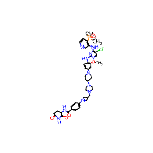 COc1cc(N2CCC(N3CCN(CC4CN(c5ccc(C(=O)NC6CCC(=O)NC6=O)cc5)C4)CC3)CC2)ccc1Nc1ncc(Cl)c(Nc2cnccc2P(C)(C)=O)n1